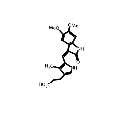 COc1cc2c(cc1OC)C(=Cc1[nH]cc(CCC(=O)O)c1C)C(=O)N2